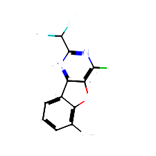 Cc1cccc2c1oc1c(Cl)nc(C(F)F)nc12